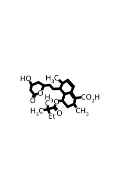 CCC(C)(C)C(=O)OC1CC(C)C(C(=O)O)=C2C=CC(C)C(CCC3CC(O)CC(=O)O3)C21